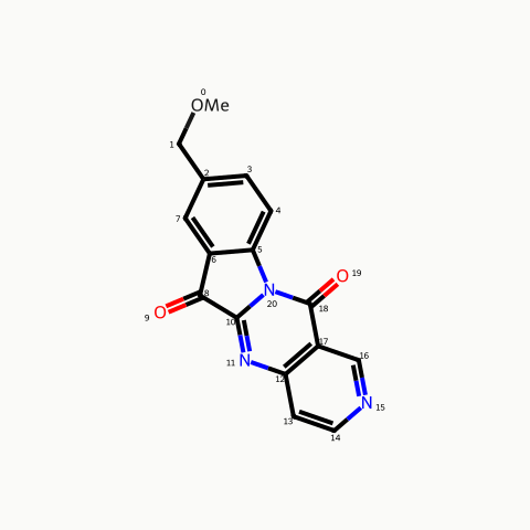 COCc1ccc2c(c1)C(=O)c1nc3ccncc3c(=O)n1-2